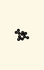 C1=CC2c3ccccc3N(c3cccc(-c4cc(-c5ccccc5)cc(N(c5ccc(-c6ccc7c8ccccc8c8ccccc8c7c6)cc5)c5ccccc5-c5ccccc5)c4)c3)C2C=C1